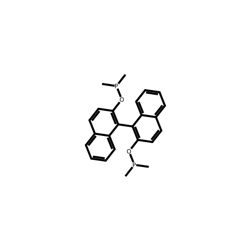 CP(C)Oc1ccc2ccccc2c1-c1c(OP(C)C)ccc2ccccc12